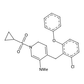 CNC1=CN(S(=O)(=O)C2CC2)CC=C1Cc1c(Cl)cccc1Oc1ccccc1